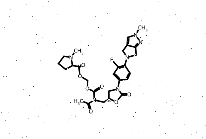 CC(=O)N(C[C@H]1CN(c2ccc(N3Cc4cn(C)nc4C3)c(F)c2)C(=O)O1)C(=O)OCOC(=O)C1CCCN1C